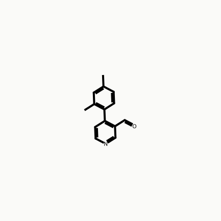 Cc1ccc(-c2ccncc2C=O)c(C)c1